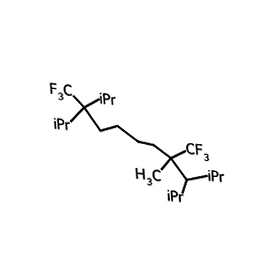 CC(C)C(C(C)C)C(C)(CCCCC(C(C)C)(C(C)C)C(F)(F)F)C(F)(F)F